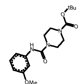 COc1cccc(NC(=O)N2CCN(C(=O)OC(C)(C)C)CC2)c1